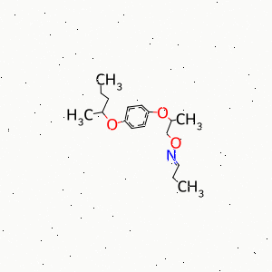 CC/C=N/OCC(C)Oc1ccc(OC(C)CCC)cc1